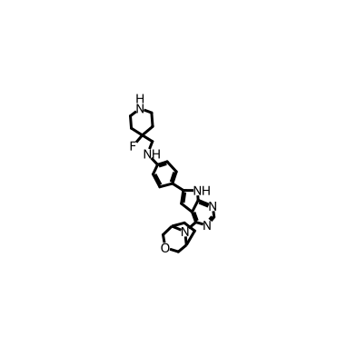 FC1(CNc2ccc(-c3cc4c(N5C6CCC5COC6)ncnc4[nH]3)cc2)CCNCC1